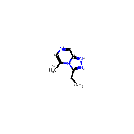 CCc1nnc2cncc(C)n12